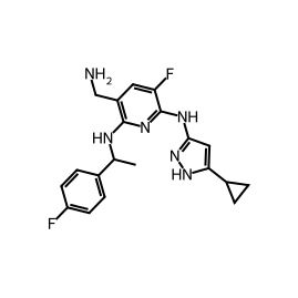 CC(Nc1nc(Nc2cc(C3CC3)[nH]n2)c(F)cc1CN)c1ccc(F)cc1